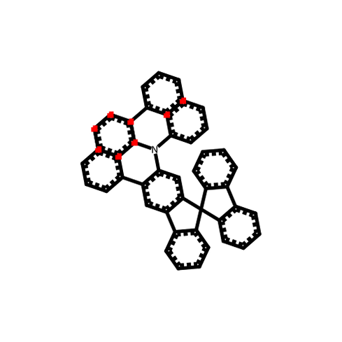 c1ccc(-c2ccccc2N(c2ccccc2)c2cc3c(cc2-c2cccc4c2CCCC4)-c2ccccc2C32c3ccccc3-c3ccccc32)cc1